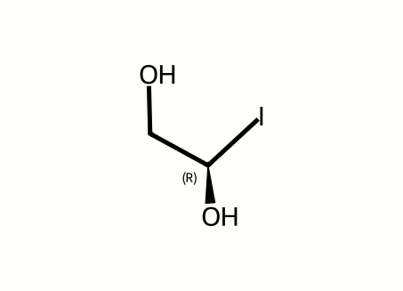 OC[C@H](O)I